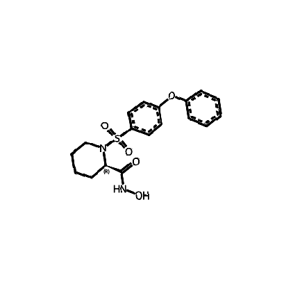 O=C(NO)[C@H]1CCCCN1S(=O)(=O)c1ccc(Oc2ccccc2)cc1